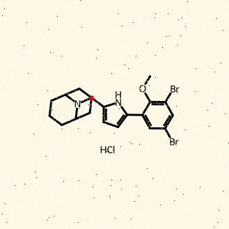 COc1c(Br)cc(Br)cc1-c1ccc(CN2C3CCCC2CCC3)[nH]1.Cl